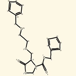 O=C1OCN(C(=O)OCc2ccccc2)C1COCCOCc1ccccc1